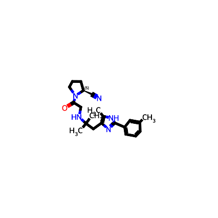 Cc1cccc(-c2nc(CC(C)(C)NCC(=O)N3CCC[C@H]3C#N)c(C)[nH]2)c1